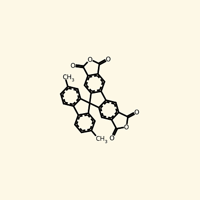 Cc1ccc2c(c1)C1(c3cc(C)ccc3-2)c2cc3c(cc2-c2cc4c(cc21)C(=O)OC4=O)C(=O)OC3=O